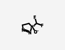 [O-][N+]1(C(F)F)CCN=N1